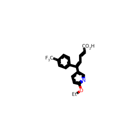 CCOc1ccc(/C(=C/C=C/C(=O)O)c2ccc(C(F)(F)F)cc2)cn1